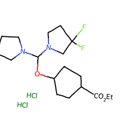 CCOC(=O)C1CCC(OC(N2CCCC2)N2CCC(F)(F)C2)CC1.Cl.Cl